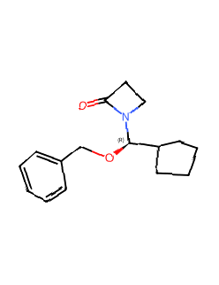 O=C1CCN1[C@H](OCc1ccccc1)C1CCCC1